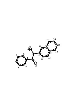 [2H]C(C(=O)c1ccccc1)c1ccc2ccccc2c1